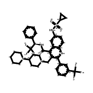 O=C(N[C@H](c1ccccc1)C(F)(F)F)c1c(CN2CCC(N3CCCCC3)CC2)c(-c2cccc(C(F)(F)F)c2)nc2ccc(NS(=O)(=O)C3CC3)cc12